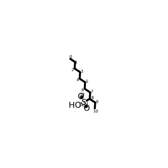 CCCCCCCCC(CC)S(=O)(=O)O